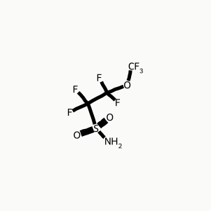 NS(=O)(=O)C(F)(F)C(F)(F)OC(F)(F)F